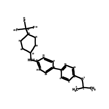 CC(C)Oc1ccc(-c2cnc(NC3CCC(C(F)(F)F)CC3)nc2)cc1